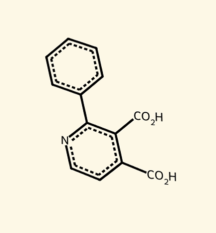 O=C(O)c1ccnc(-c2ccccc2)c1C(=O)O